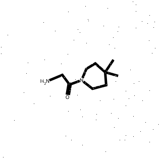 CC1(C)CCN(C(=O)CN)CC1